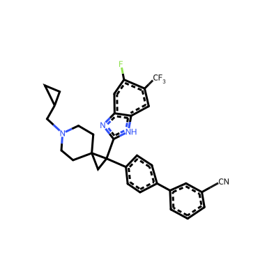 N#Cc1cccc(-c2ccc(C3(c4nc5cc(F)c(C(F)(F)F)cc5[nH]4)CC34CCN(CC3CC3)CC4)cc2)c1